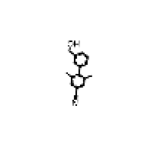 Cc1cc(C#N)cc(C)c1-c1cccc(CO)c1